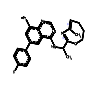 CCCc1cc(-c2ccc(F)cc2)cc2c(NC(C)/C3=N/C(C)=C/CCCO3)ncnc12